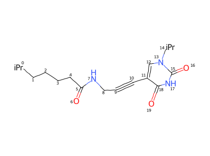 CC(C)CCCCC(=O)NCC#Cc1cn(C(C)C)c(=O)[nH]c1=O